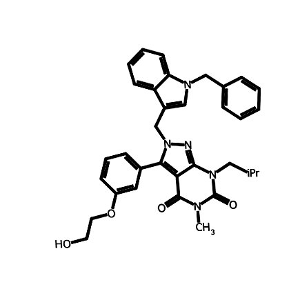 CC(C)Cn1c(=O)n(C)c(=O)c2c(-c3cccc(OCCO)c3)n(Cc3cn(Cc4ccccc4)c4ccccc34)nc21